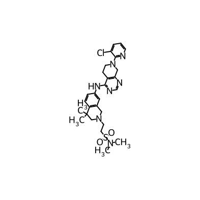 CN(C)S(=O)(=O)CCN1Cc2cc(Nc3ncnc4c3CCN(c3ncccc3Cl)C4)ccc2C(C)(C)C1